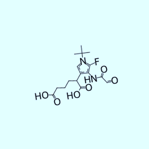 CC(C)(C)n1cc(C(CCCC(=O)O)C(=O)O)c(NC(=O)C=O)c1F